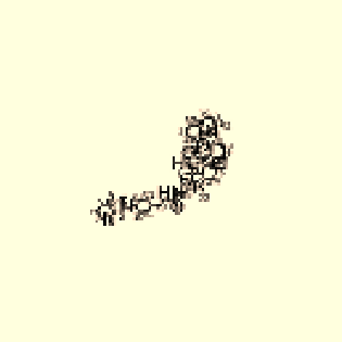 CC(=O)N(Cc1ccccn1)c1ccc(C=CC(=O)NCC(=O)N(C)c2ccc(Cl)c(C(O)(C(=O)Oc3cccc4ccc(C)nc34)c3ccccc3)c2Cl)cc1